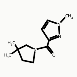 Cn1ccc(C(=O)N2CCC(C)(C)C2)n1